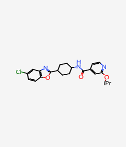 CC(C)Oc1cc(C(=O)NC2CCC(c3nc4cc(Cl)ccc4o3)CC2)ccn1